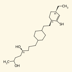 CC[C@H]1C=C(S)[C@@H](CCC2CCC(CCC[C@H](O)CCC(C)O)CC2)CC1